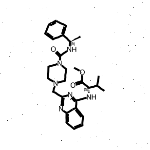 COC(=O)[C@@H](Nc1nc(CN2CCN(C(=O)N[C@H](C)c3ccccc3)CC2)nc2ccccc12)C(C)C